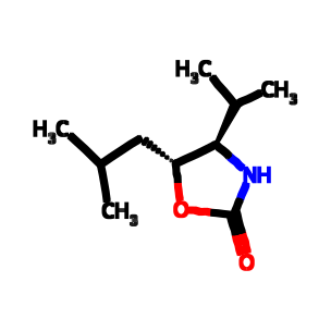 CC(C)C[C@H]1OC(=O)N[C@@H]1C(C)C